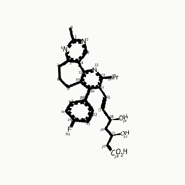 Cc1ncc2c(n1)CCCc1c-2nc(C(C)C)c(/C=C/[C@@H](O)C[C@@H](O)CC(=O)O)c1-c1ccc(F)cc1